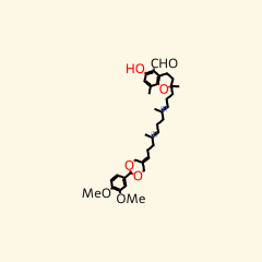 COc1ccc(C2OCC(=CCC/C(C)=C/CC/C(C)=C/CCC3(C)CCc4c(C=O)c(O)cc(C)c4O3)CO2)cc1OC